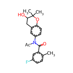 CC(=O)N(C(=O)c1cc(F)ccc1C)c1ccc2c(c1)CC(O)C(C)(C)O2